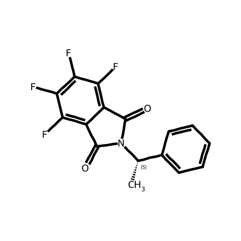 C[C@@H](c1ccccc1)N1C(=O)c2c(F)c(F)c(F)c(F)c2C1=O